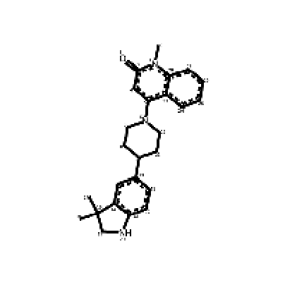 Cn1c(=O)cc(N2CCC(c3ccc4c(c3)C(C)(C)CN4)CC2)c2ccccc21